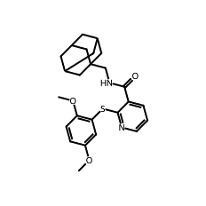 COc1ccc(OC)c(Sc2ncccc2C(=O)NCC23CC4CC(CC(C4)C2)C3)c1